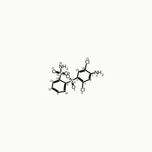 Nc1cc(Cl)c(S(=O)(=O)c2ccccc2S(N)(=O)=O)cc1Cl